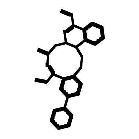 C=CC1=NC2CC(=C)/N=C(/C=C)c3cc(-c4ccccc4)ccc3CCC2c2ccccc21